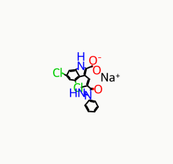 O=C([O-])c1[nH]c2cc(Cl)cc(Cl)c2c1C=C1CNN(c2ccccc2)C1=O.[Na+]